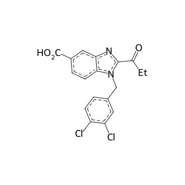 CCC(=O)c1nc2cc(C(=O)O)ccc2n1Cc1ccc(Cl)c(Cl)c1